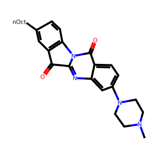 CCCCCCCCc1ccc2c(c1)C(=O)c1nc3cc(N4CCN(C)CC4)ccc3c(=O)n1-2